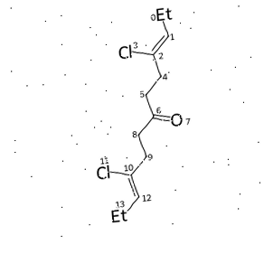 CCC=C(Cl)CCC(=O)CCC(Cl)=CCC